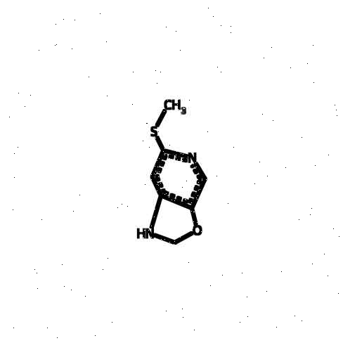 CSc1cc2c(cn1)OCN2